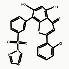 O=c1cc(-c2ccccc2Cl)oc2c(-c3cccc(S(=O)(=O)n4cncn4)c3)c(O)cc(O)c12